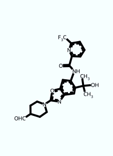 CC(C)(O)c1cc2nc(N3CCC(C=O)CC3)oc2cc1NC(=O)c1cccc(C(F)(F)F)n1